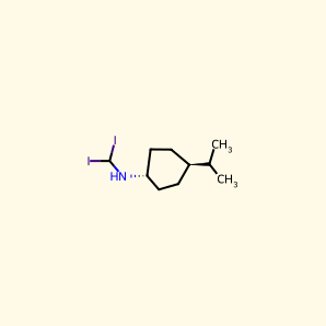 CC(C)[C@H]1CC[C@H](NC(I)I)CC1